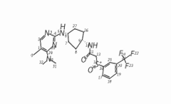 Cc1cnc(N[C@H]2CC[C@@H](NC(=O)C[S+]([O-])c3cccc(C(F)(F)F)c3)CC2)nc1N(C)C